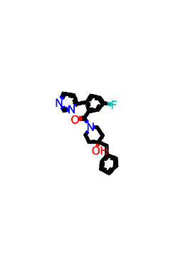 O=C(c1cc(F)ccc1-c1ccncn1)N1CCC(O)(Cc2ccccc2)CC1